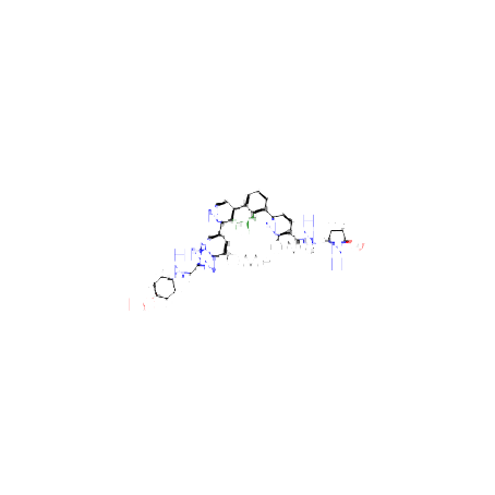 COc1nc(-c2cccc(-c3ccnc(-c4cc(OC)c5nc(CN[C@H]6CC[C@@H](O)CC6)nn5c4)c3Cl)c2Cl)ccc1CNC[C@@H]1CCC(=O)N1